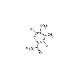 COC(=O)c1cc(Br)c(C(=O)O)c(C)c1Br